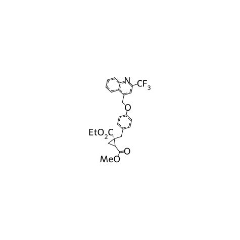 CCOC(=O)[C@@]1(Cc2ccc(OCc3cc(C(F)(F)F)nc4ccccc34)cc2)CC1C(=O)OC